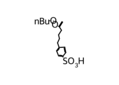 C=C(CCCCc1ccc(S(=O)(=O)O)cc1)OOCCCC